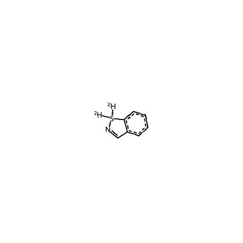 [2H]S1([2H])N=Cc2ccccc21